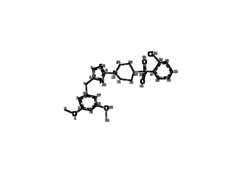 COc1cc(Cc2csc(N3CCC(S(=O)(=O)c4ccccc4Cl)CC3)n2)cc(OC)c1